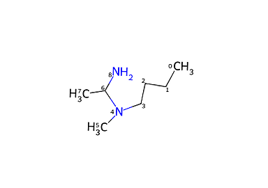 CCCCN(C)C(C)N